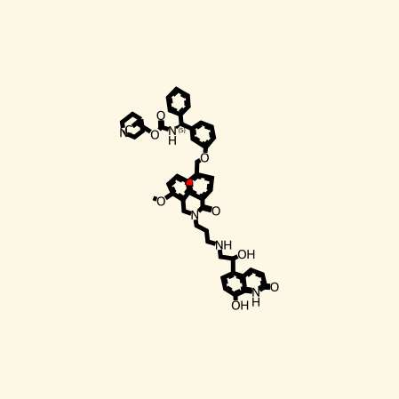 COc1ccccc1CN(CCCNCC(O)c1ccc(O)c2[nH]c(=O)ccc12)C(=O)c1ccc(COc2cccc([C@@H](NC(=O)OC3CN4CCC3CC4)c3ccccc3)c2)cc1